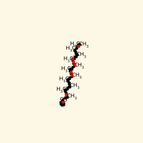 CC(C)=CCCC(C)=CCCC(C)=CCCC(C)=CCCC(C)=CCCC(C)=CCCC(C)=CCCC(C)=CCCC(C)=CCCC(C)=CCCC(C)=CCOC(=O)c1ccccc1